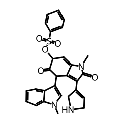 CN1C(=O)C(C2=CCNC2)=C2C1=CC(OS(=O)(=O)c1ccccc1)C(=O)C2c1cn(C)c2ccccc12